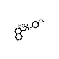 COc1ccc(OC(C)(O)Cc2cccc3ccccc23)cc1